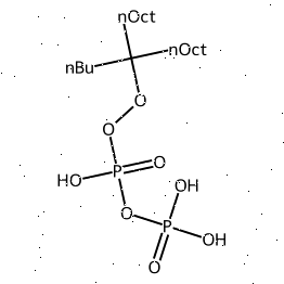 CCCCCCCCC(CCCC)(CCCCCCCC)OOP(=O)(O)OP(=O)(O)O